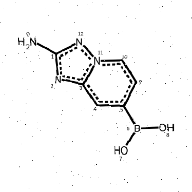 Nc1nc2cc(B(O)O)ccn2n1